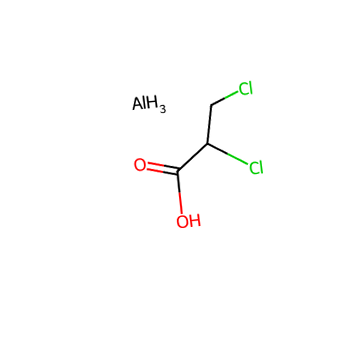 O=C(O)C(Cl)CCl.[AlH3]